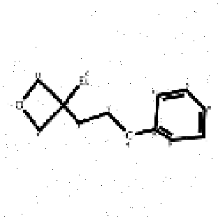 CCC1(CCOc2ccccc2)COC1